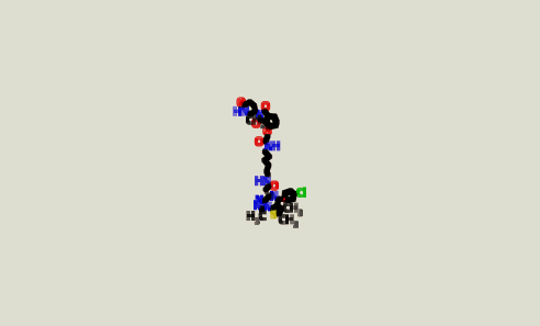 C=C1NC(=O)CCC1N1C(=O)c2cccc(OCC(=O)NCCCCCCNC(=O)C[C@@H]3N=C(c4ccc(Cl)cc4)c4c(sc(C)c4C)-n4c(C)nnc43)c2C1=O